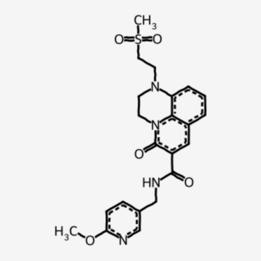 COc1ccc(CNC(=O)c2cc3cccc4c3n(c2=O)CCN4CCS(C)(=O)=O)cn1